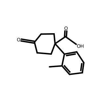 Cc1ccccc1C1(C(=O)O)CCC(=O)CC1